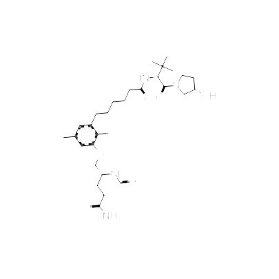 Cc1cc(CCCCCC(=O)N[C@H](C(=O)N2CC[C@@H](O)C2)C(C)(C)C)c(F)c(OC[C@H](CCC(N)=O)NC=O)c1